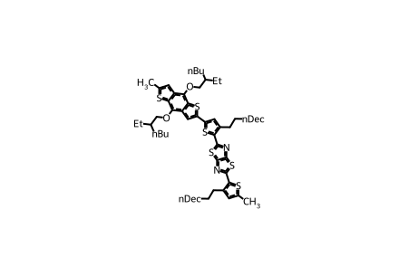 CCCCCCCCCCCCc1cc(C)sc1-c1nc2sc(-c3sc(-c4cc5c(OCC(CC)CCCC)c6sc(C)cc6c(OCC(CC)CCCC)c5s4)cc3CCCCCCCCCCCC)nc2s1